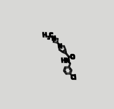 CN1CC(N2CC3C(C2)C3C(=O)NCc2cccc(Cl)c2)C1